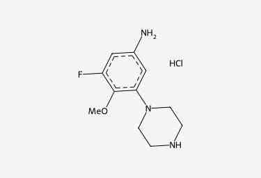 COc1c(F)cc(N)cc1N1CCNCC1.Cl